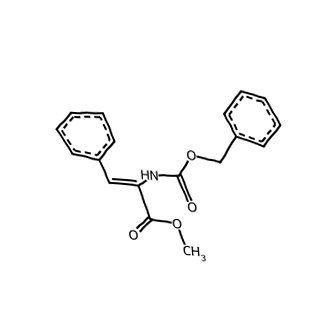 COC(=O)/C(=C/c1ccccc1)NC(=O)OCc1ccccc1